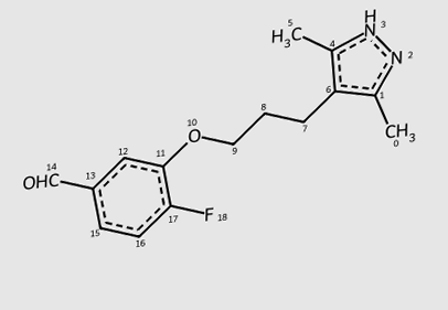 Cc1n[nH]c(C)c1CCCOc1cc(C=O)ccc1F